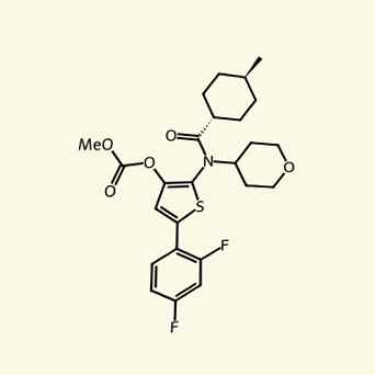 COC(=O)Oc1cc(-c2ccc(F)cc2F)sc1N(C(=O)[C@H]1CC[C@H](C)CC1)C1CCOCC1